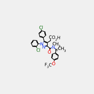 C[C@H](c1ccc(OC(F)(F)F)cc1)N(C)C(=O)c1nn(-c2ccccc2Cl)c(-c2ccc(Cl)cc2)c1CC(=O)O